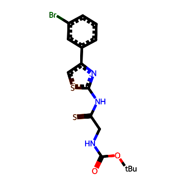 CC(C)(C)OC(=O)NCC(=S)Nc1nc(-c2cccc(Br)c2)cs1